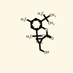 Cc1cc(C(C)(C)C)c(OC(=O)C2CC2CO)c(C(C)(C)C)c1